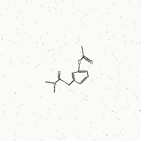 CC(=O)Oc1cccc(CC(=O)N(C)C)c1